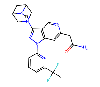 CCN1C2CC1CN(c1nn(-c3cccc(C(C)(F)F)n3)c3cc(CC(N)=O)ncc13)C2